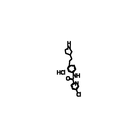 Cl.O=C(Nc1ccc(CCC2CCNC2)cc1)c1ccc(Cl)cn1